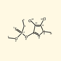 CCP(=S)(OC)Oc1nn(C)c(Cl)c1Cl